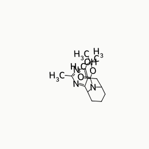 Cc1nc(O)c2c(n1)C1CCCC(C2)N1C(=O)OC(C)(C)C